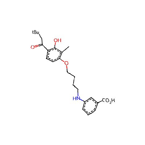 Cc1c(OCCCCNc2cccc(C(=O)O)c2)ccc(C(=O)CC(C)(C)C)c1O